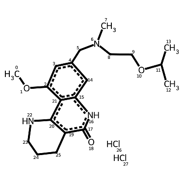 COc1cc(CN(C)CCOC(C)C)cc2[nH]c(=O)c3c(c12)NCCC3.Cl.Cl